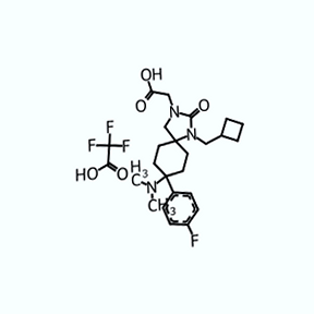 CN(C)C1(c2ccc(F)cc2)CCC2(CC1)CN(CC(=O)O)C(=O)N2CC1CCC1.O=C(O)C(F)(F)F